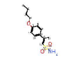 CCCCOc1ccc(/C(C)=C/S(N)(=O)=O)cc1